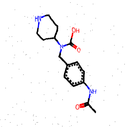 CC(=O)Nc1ccc(CN(C(=O)O)C2CCNCC2)cc1